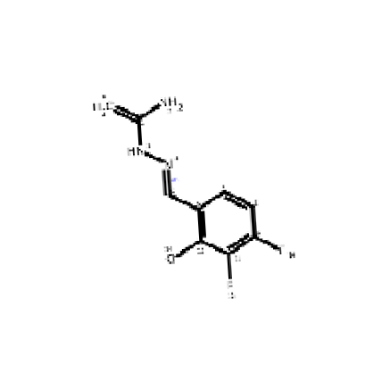 C=C(N)N/N=C/c1ccc(F)c(F)c1Cl